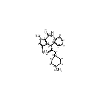 CCc1cn(CC)c2c1N(C(=O)CN1CCN(C)CC1)c1ccccc1NC2=O